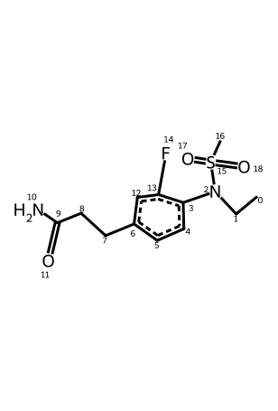 CCN(c1ccc(CCC(N)=O)cc1F)S(C)(=O)=O